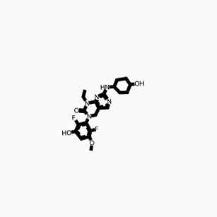 CCN1C(=O)N(c2c(F)c(O)cc(OC)c2F)Cc2cnc(NC3CCC(O)CC3)nc21